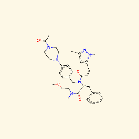 COCCN(C)C(=O)[C@H](Cc1ccccc1)N(Cc1ccc(N2CCN(C(C)=O)CC2)cc1)C(=O)/C=C\c1cc(C)nn1C